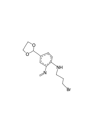 C=Nc1cc(C2OCCO2)ccc1NCCCBr